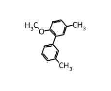 COc1ccc(C)cc1-c1cc[c]c(C)c1